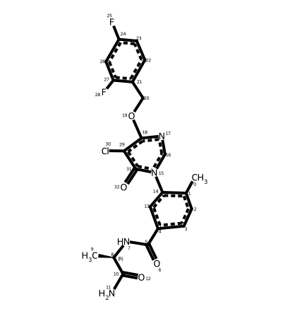 Cc1ccc(C(=O)N[C@H](C)C(N)=O)cc1-n1cnc(OCc2ccc(F)cc2F)c(Cl)c1=O